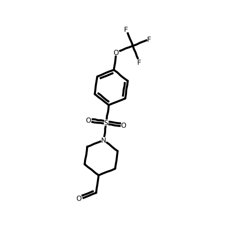 O=CC1CCN(S(=O)(=O)c2ccc(OC(F)(F)F)cc2)CC1